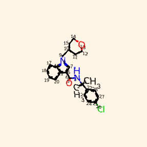 CC(C)(NC(=O)c1cn(CC2CCOCC2)c2ccccc12)c1ccc(Cl)cc1